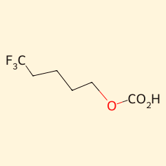 O=C(O)OCCCCC(F)(F)F